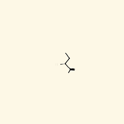 CC[C@H](S)C(=O)O